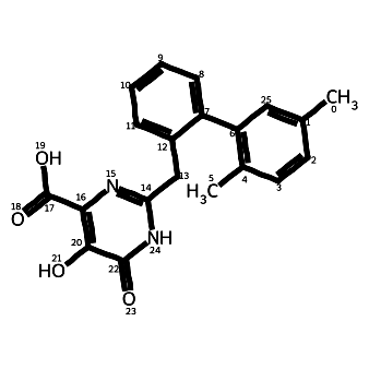 Cc1ccc(C)c(-c2ccccc2Cc2nc(C(=O)O)c(O)c(=O)[nH]2)c1